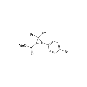 COC(=O)C1N(c2ccc(Br)cc2)C1(C(C)C)C(C)C